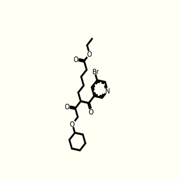 CCOC(=O)CCCCC(C(=O)COC1CCCCC1)C(=O)c1cncc(Br)c1